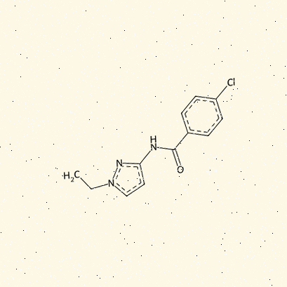 [CH2]Cn1ccc(NC(=O)c2ccc(Cl)cc2)n1